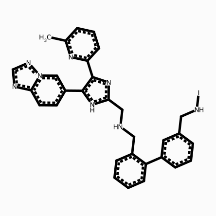 Cc1cccc(-c2nc(CNCc3ccccc3-c3cccc(CNI)c3)[nH]c2-c2ccc3ncnn3c2)n1